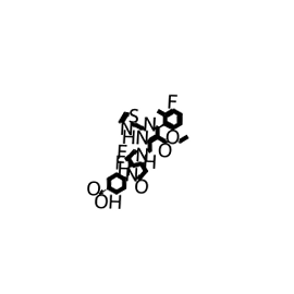 CCOC(=O)C1=C(CN2CC(F)(F)[C@H]3[C@@H]2CC(=O)N3[C@H]2CC[C@H](C(=O)O)CC2)NC(c2nccs2)=N[C@H]1c1cccc(F)c1C